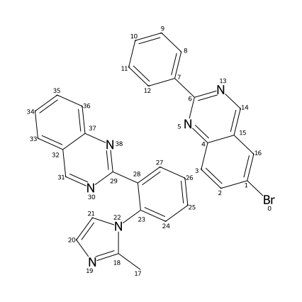 Brc1ccc2nc(-c3ccccc3)ncc2c1.Cc1nccn1-c1ccccc1-c1ncc2ccccc2n1